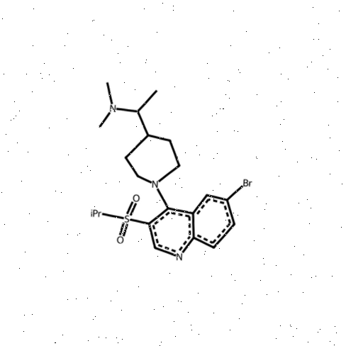 CC(C1CCN(c2c(S(=O)(=O)C(C)C)cnc3ccc(Br)cc23)CC1)N(C)C